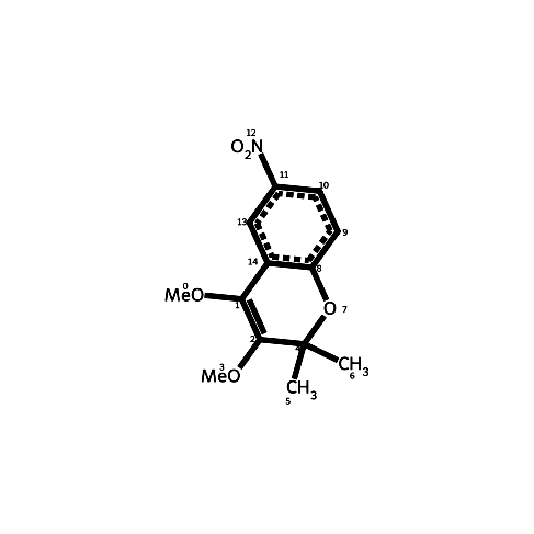 COC1=C(OC)C(C)(C)Oc2ccc([N+](=O)[O-])cc21